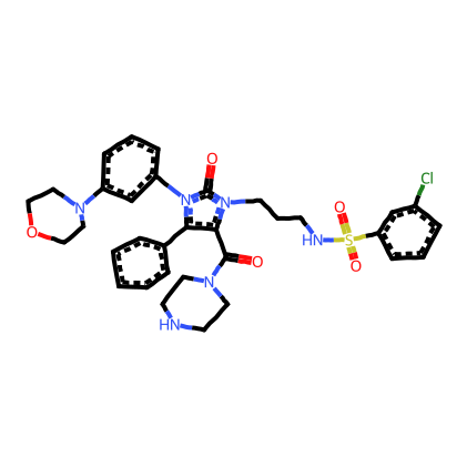 O=C(c1c(-c2ccccc2)n(-c2cccc(N3CCOCC3)c2)c(=O)n1CCCNS(=O)(=O)c1cccc(Cl)c1)N1CCNCC1